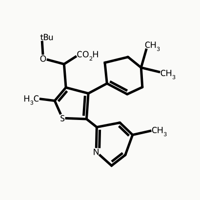 Cc1ccnc(-c2sc(C)c(C(OC(C)(C)C)C(=O)O)c2C2=CCC(C)(C)CC2)c1